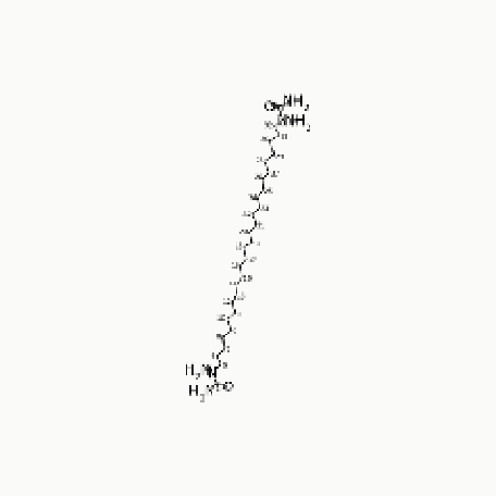 NC(=O)N(N)CCCCCCCCCCCCCCCCCCCCCCCCCCCCN(N)C(N)=O